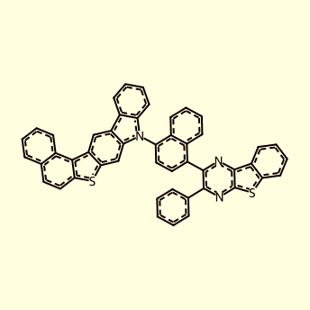 c1ccc(-c2nc3sc4ccccc4c3nc2-c2ccc(-n3c4ccccc4c4cc5c(cc43)sc3ccc4ccccc4c35)c3ccccc23)cc1